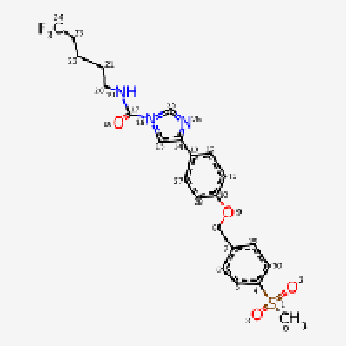 CS(=O)(=O)c1ccc(COc2ccc(-c3cn(C(=O)NCCCCC(F)(F)F)cn3)cc2)cc1